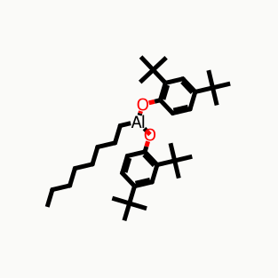 CCCCCCC[CH2][Al]([O]c1ccc(C(C)(C)C)cc1C(C)(C)C)[O]c1ccc(C(C)(C)C)cc1C(C)(C)C